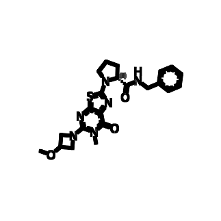 COC1CN(c2nc3sc(N4CCC[C@@H]4C(=O)NCc4ccccc4)nc3c(=O)n2C)C1